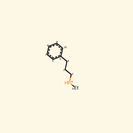 CCPCCCc1ccccc1